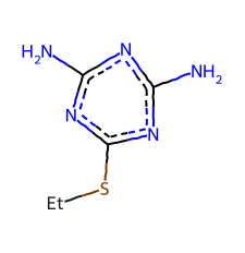 CCSc1nc(N)nc(N)n1